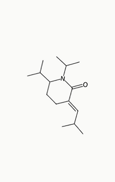 CC(C)/C=C1\CCC(C(C)C)N(C(C)C)C1=O